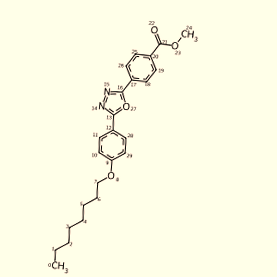 CCCCCCCCOc1ccc(-c2nnc(-c3ccc(C(=O)OC)cc3)o2)cc1